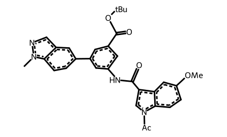 COc1ccc2c(c1)c(C(=O)Nc1cc(C(=O)OC(C)(C)C)cc(-c3ccc4c(cnn4C)c3)c1)cn2C(C)=O